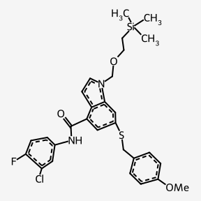 COc1ccc(CSc2cc(C(=O)Nc3ccc(F)c(Cl)c3)c3ccn(COCC[Si](C)(C)C)c3c2)cc1